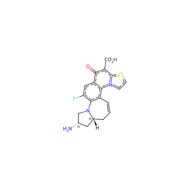 N[C@H]1C[C@H]2CC=Cc3c(c(F)cc4c(=O)c(C(=O)O)c5sccn5c34)N2C1